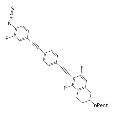 CCCCCC1CCc2c(cc(F)c(C#Cc3ccc(C#Cc4ccc(N=C=S)c(F)c4)cc3)c2F)C1